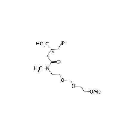 COCCOCOCCN(C)C(=O)C[C@@H](CC(C)C)C(=O)O